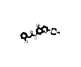 CN1CCN(c2ccc3c(Br)cc(NC(=O)Cc4ccccc4Cl)cc3n2)CC1